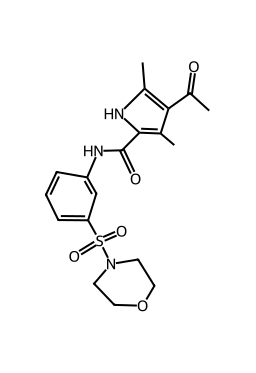 CC(=O)c1c(C)[nH]c(C(=O)Nc2cccc(S(=O)(=O)N3CCOCC3)c2)c1C